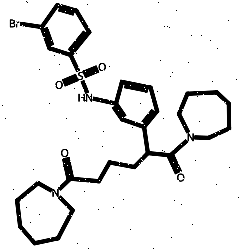 O=C(CCCC(C(=O)N1CCCCCC1)c1cccc(NS(=O)(=O)c2cccc(Br)c2)c1)N1CCCCCC1